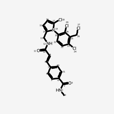 CNC(=O)c1ccc(C=CC(=O)NCc2ccc(Cl)n2-c2ccc(Cl)c(CCl)c2Cl)cc1